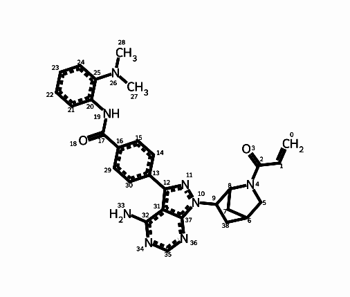 C=CC(=O)N1CC2CC1C(n1nc(-c3ccc(C(=O)Nc4ccccc4N(C)C)cc3)c3c(N)ncnc31)C2